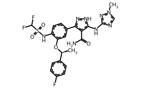 C[C@H](Oc1cc(-c2n[nH]c(Nc3ncn(C)n3)c2C(N)=O)ccc1NS(=O)(=O)C(F)F)c1ccc(F)cc1